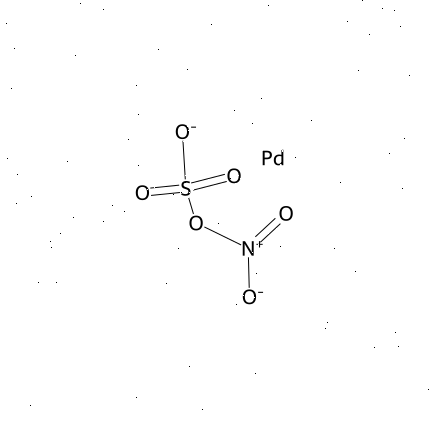 O=[N+]([O-])OS(=O)(=O)[O-].[Pd]